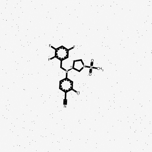 CS(=O)(=O)N1CC[C@H](N(Cc2cc(F)cc(F)c2F)c2ccc(C#N)c(Cl)c2)C1